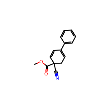 COC(=O)C1(C#N)C=CC(c2ccccc2)=CC1